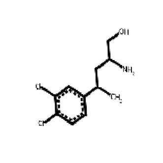 CC(CC(N)CO)c1ccc(Cl)c(Cl)c1